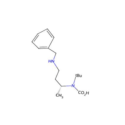 C[C@H](CCNCc1ccccc1)N(C(=O)O)C(C)(C)C